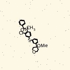 COC1(c2cccc(Sc3ccc(N(C)C(=O)c4ccccc4)c(Cl)c3)c2)CCOCC1